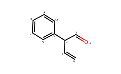 C=CC(C=O)c1ccccc1